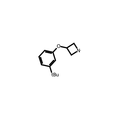 CC(C)(C)c1cccc(OC2C[N]C2)c1